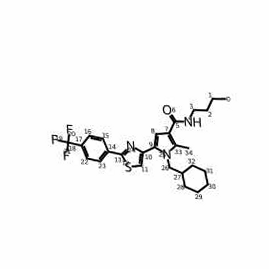 CCCCNC(=O)c1cc(-c2csc(-c3ccc(C(F)(F)F)cc3)n2)n(CC2CCCCC2)c1C